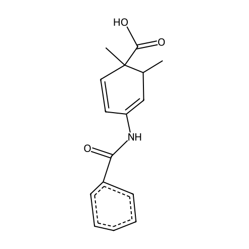 CC1C=C(NC(=O)c2ccccc2)C=CC1(C)C(=O)O